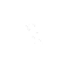 CC(C)(C)n1cnnc1C(=O)Nc1ccccn1